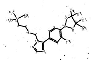 Cc1cc(-c2ncnn2COCC[Si](C)(C)C)ccc1B1OC(C)(C)C(C)(C)O1